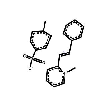 C[n+]1ccccc1/C=C/c1ccccc1.Cc1ccc(S(=O)(=O)[O-])cc1